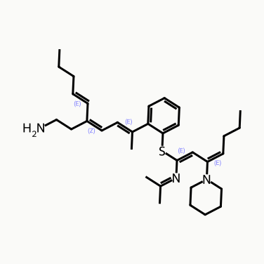 CCC/C=C/C(=C\C=C(/C)c1ccccc1S/C(=C/C(=C\CCC)N1CCCCC1)N=C(C)C)CCN